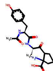 CC(=O)N[C@@H](Cc1ccc(O)cc1)C(=O)N[C@@H](C)C(=O)C1CCCC1(N)C(=O)O